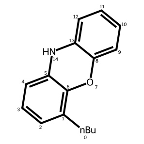 CCCCc1cccc2c1Oc1ccccc1N2